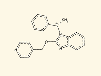 C[C@@H](c1ccccc1)n1c(OCc2ccncc2)nc2ccccc21